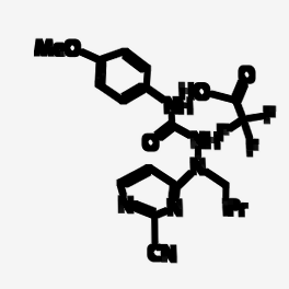 COc1ccc(NC(=O)NN(CC(C)C)c2ccnc(C#N)n2)cc1.O=C(O)C(F)(F)F